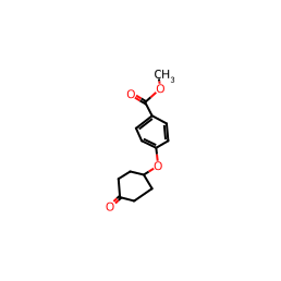 COC(=O)c1ccc(OC2CCC(=O)CC2)cc1